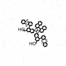 OCc1cc(-c2cccc3c2Sc2ccccc2S3)c2cc(Oc3ccc4ccccc4c3-c3c(Oc4ccc5cc(CO)cc(-c6cccc7c6Sc6ccccc6S7)c5c4)ccc4ccccc34)ccc2c1